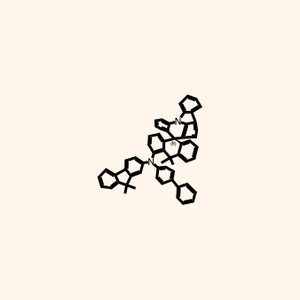 CC1(C)c2ccccc2-c2ccc(N(c3ccc(-c4ccccc4)cc3)c3cccc4c3C(C)(C)c3ccccc3[C@]43c4ccccc4-n4c5ccccc5c5cccc3c54)cc21